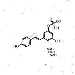 O=P(O)(O)Oc1cc(O)cc(/C=C/c2ccc(O)cc2)c1.[NaH].[NaH].[NaH]